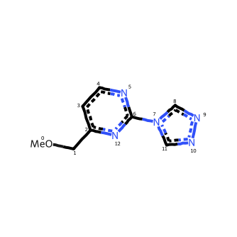 COCc1ccnc(-n2cnnc2)n1